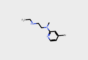 CC(C)c1ccnc(N(C)CCNCC(F)(F)F)c1